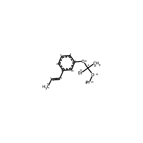 CC=Cc1cccc(OC(C)(CC)OC(C)C)c1